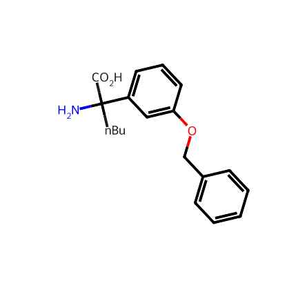 CCCCC(N)(C(=O)O)c1cccc(OCc2ccccc2)c1